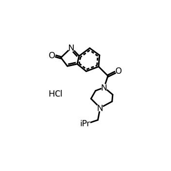 CC(C)CN1CCN(C(=O)c2ccc3c(c2)=CC(=O)N=3)CC1.Cl